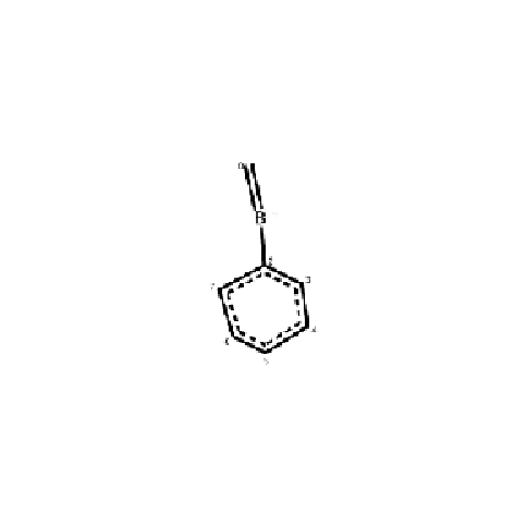 C=Bc1ccccc1